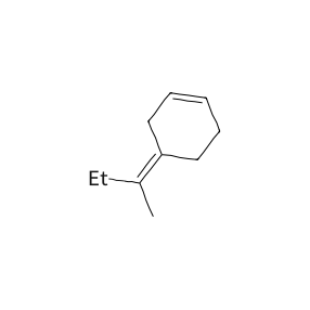 CCC(C)=C1CC=CCC1